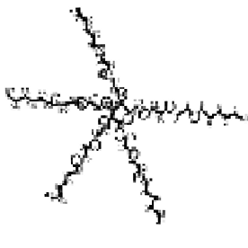 CCCCCCOCCOCCOC[C@H]1OC(OCCOCCOCCCCCC)[C@H](OCCOCCOCCCCCC)[C@@H](OCCOCCOCCCCCC)[C@@H]1OCCOCCOCCCCCC